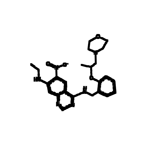 CCNc1cc2ncnc(NCc3ccccc3OC(C)CN3CCOCC3)c2cc1[N+](=O)[O-]